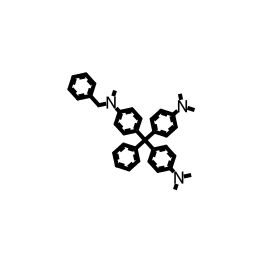 CN(C)c1ccc(C(c2ccccc2)(c2ccc(N(C)C)cc2)c2ccc(N(C)Cc3ccccc3)cc2)cc1